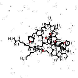 CC(C)C[C@H](NC(=O)[C@@H]1CCCN1C(=O)[C@@H](NC(=O)[C@@H]1CCCN1C(=O)[C@H](CCC(=O)O)NC(=O)[C@H](C)NC(=O)[C@H](C)NC(=O)CNC(=O)[C@H](Cc1ccc(O)cc1)NC(=O)[C@@H](NC(=O)[C@H](CC(=O)O)NC(=O)[C@H](CCCCN)NC(=O)[C@@H](N)CCCNC(=N)N)C(C)C)C(C)C)C(=O)N[C@H](C(=O)N[C@@H](CCCCN)C(=O)N[C@@H](CCC(N)=O)C(=O)N[C@@H](CC(=O)O)C(=O)O)C(C)C